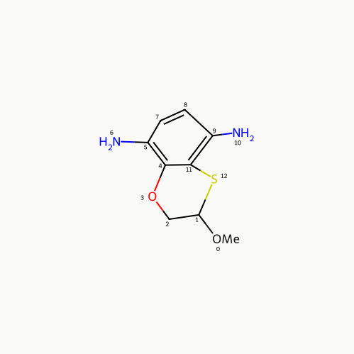 COC1COc2c(N)ccc(N)c2S1